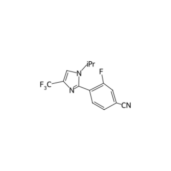 CC(C)n1cc(C(F)(F)F)nc1-c1ccc(C#N)cc1F